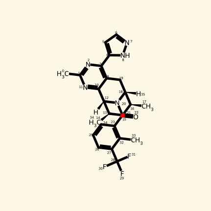 Cc1nc(-c2ccn[nH]2)c2c(n1)[C@H]1[C@H](C)C[C@H](C)[C@@H](C2)N1C(=O)c1cccc(C(F)(F)F)c1C